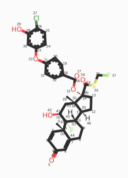 C[C@]12C=CC(=O)C=C1CC[C@H]1[C@@H]3CC[C@](OC(=O)c4ccc(Oc5ccc(Cl)c(O)c5)cc4)(C(=O)SCF)[C@@]3(C)C[C@H](O)[C@@]12F